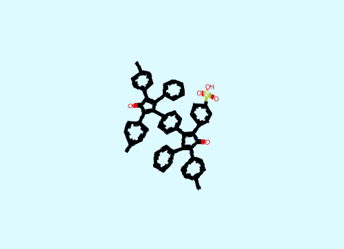 Cc1ccc(C2=C(c3ccccc3)C(c3ccc(C4=C(c5ccc(S(=O)(=O)O)cc5)C(=O)C(c5ccc(C)cc5)=C4c4ccccc4)cc3)=C(c3ccc(C)cc3)C2=O)cc1